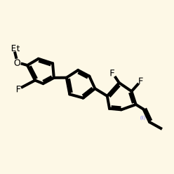 C/C=C/c1ccc(-c2ccc(-c3ccc(OCC)c(F)c3)cc2)c(F)c1F